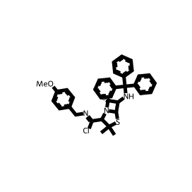 COc1ccc(CN=C(Cl)C2N3C(=O)C(NC(c4ccccc4)(c4ccccc4)c4ccccc4)C3SC2(C)C)cc1